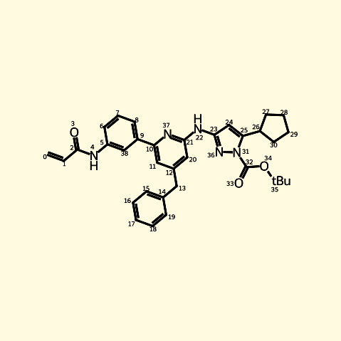 C=CC(=O)Nc1cccc(-c2cc(Cc3ccccc3)cc(Nc3cc(C4CCCC4)n(C(=O)OC(C)(C)C)n3)n2)c1